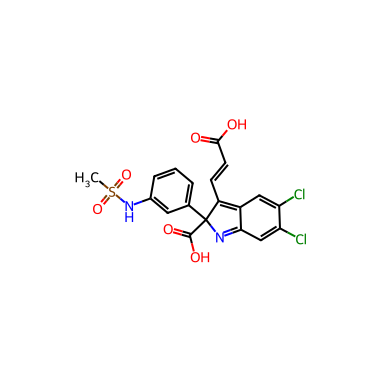 CS(=O)(=O)Nc1cccc(C2(C(=O)O)N=c3cc(Cl)c(Cl)cc3=C2C=CC(=O)O)c1